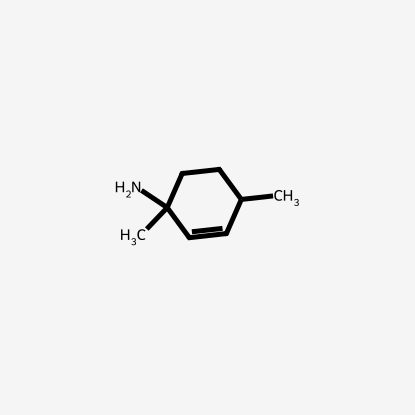 CC1C=CC(C)(N)CC1